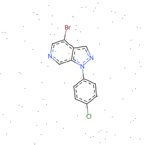 Clc1ccc(-n2ncc3c(Br)cncc32)cc1